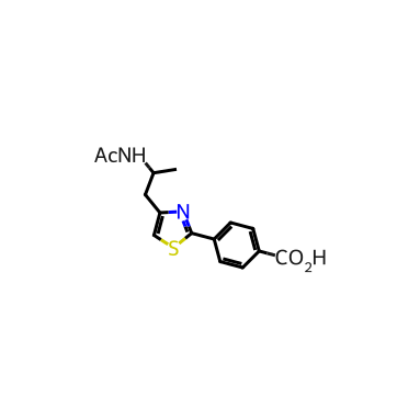 CC(=O)NC(C)Cc1csc(-c2ccc(C(=O)O)cc2)n1